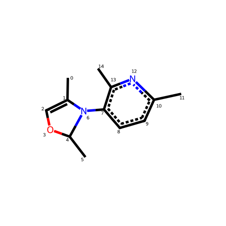 CC1=[C]OC(C)N1c1ccc(C)nc1C